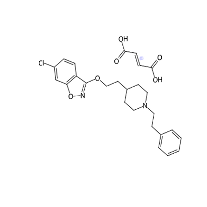 Clc1ccc2c(OCCC3CCN(CCc4ccccc4)CC3)noc2c1.O=C(O)/C=C/C(=O)O